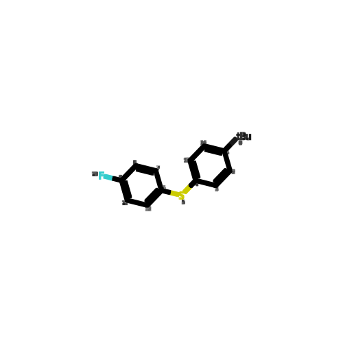 CC(C)(C)c1ccc(Sc2ccc(F)cc2)cc1